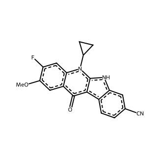 COc1cc2c(=O)c3c4ccc(C#N)cc4[nH]c3n(C3CC3)c2cc1F